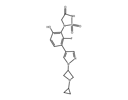 O=C1CN(c2c(O)ccc(-c3cnn(C4CN(C5CC5)C4)c3)c2F)S(=O)(=O)N1